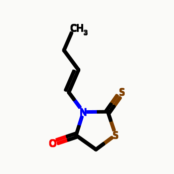 CCC=CN1C(=O)CSC1=S